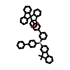 CC1(C)c2ccccc2-c2ccc(N(c3ccc(-c4ccccc4)cc3)c3cccc(-c4ccc(C56C=CC=CC5c5ccccc5C65c6ccccc6-c6ccccc65)cc4)c3)cc21